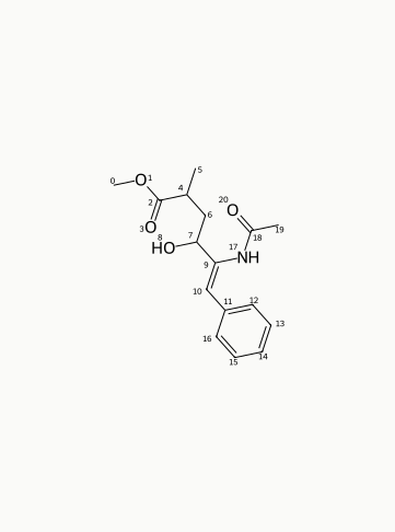 COC(=O)C(C)CC(O)C(=Cc1ccccc1)NC(C)=O